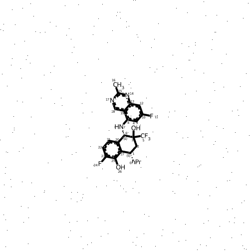 CCC[C@H]1CC(O)(C(F)(F)F)[C@@H](Nc2cc(F)cc3nc(C)ncc23)c2ccc(F)c(O)c21